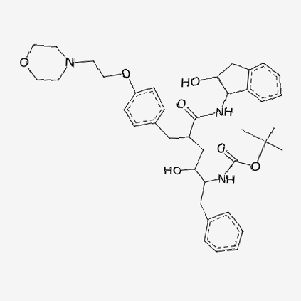 CC(C)(C)OC(=O)NC(Cc1ccccc1)C(O)CC(Cc1ccc(OCCN2CCOCC2)cc1)C(=O)NC1c2ccccc2CC1O